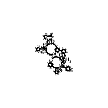 CN(Cc1cccc(-c2cc3cc(c2)OCCCC[C@@H](C(=O)NC2CCCC2)NC(=O)[C@H](CC(=O)N2CCCC2C2CC2)NC(=O)CC3)c1)C(=O)[C@@H]1CCCCOc2cccc(c2)C[C@H](N2CCCC2=O)C(=O)N[C@@H](CCc2ccc(F)cc2)C(=O)N1